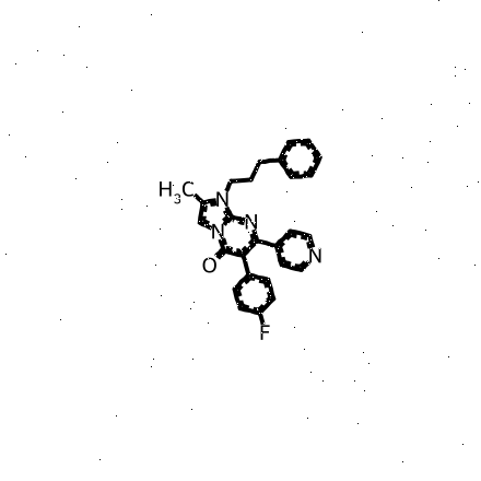 Cc1cn2c(=O)c(-c3ccc(F)cc3)c(-c3ccncc3)nc2n1CCCc1ccccc1